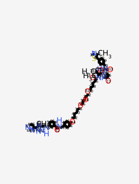 Cc1ncsc1-c1ccc(CNC(=O)[C@@H]2CC(=O)CN2C(=O)[C@@H](NC(=O)CCCCCOCCOCCOCCCCCCOc2ccc(CNC(=O)c3cccc(NCc4nnc(-c5ccncn5)n4C)c3)cc2)C(C)(C)C)cc1